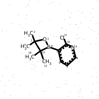 CC1(C)OB(c2cccnc2Cl)C1(C)C